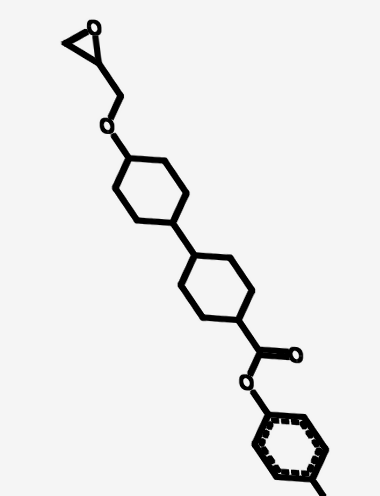 Cc1ccc(OC(=O)C2CCC(C3CCC(OCC4CO4)CC3)CC2)cc1